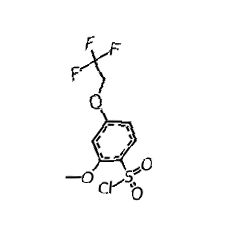 COc1cc(OCC(F)(F)F)ccc1S(=O)(=O)Cl